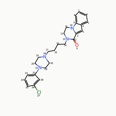 O=C1c2cc3ccccc3n2CCN1CCCCN1CCN(c2cccc(Cl)c2)CC1